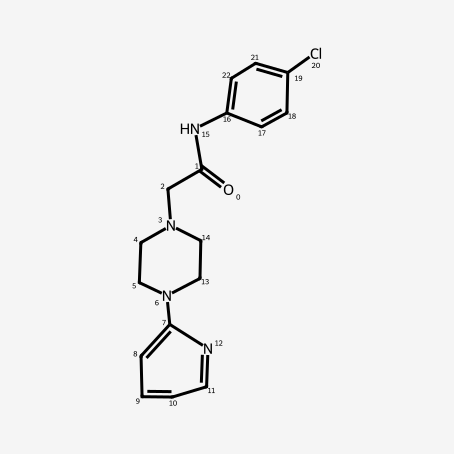 O=C(CN1CCN(c2ccccn2)CC1)Nc1ccc(Cl)cc1